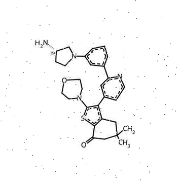 CC1(C)CC(=O)c2sc(N3CCOCC3)c(-c3ccnc(-c4cccc(N5CC[C@H](N)C5)c4)c3)c2C1